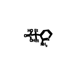 CCC(CC)(c1cccnc1N)P(=O)(O)O